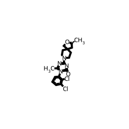 Cc1nc(N2CCC3(CC2)CO[C@@H](C)C3)nc(=O)n1-c1cccc(Cl)c1Cl